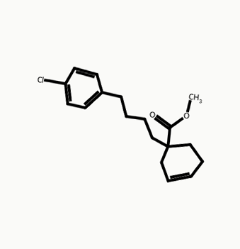 COC(=O)C1(CCCCc2ccc(Cl)cc2)CC=CCC1